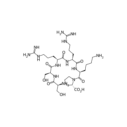 N=C(N)NCCC[C@H](NC(=O)[C@H](CO)NC(=O)[C@@H](N)CO)C(=O)N[C@@H](CCCNC(=N)N)C(=O)N[C@@H](CCCCN)C(=O)N1CCC[C@H]1C(=O)O